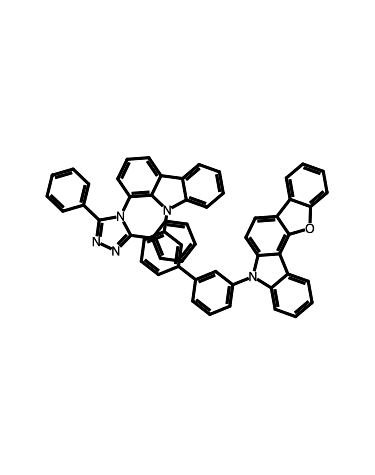 c1ccc(-c2nnc(-c3ccccc3)n2-c2cccc3c4ccccc4n(-c4cccc(-c5cccc(-n6c7ccccc7c7c8oc9ccccc9c8ccc76)c5)c4)c23)cc1